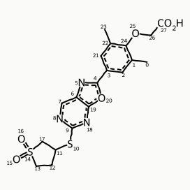 Cc1cc(-c2nc3cnc(SC4CCS(=O)(=O)C4)nc3o2)cc(C)c1OCC(=O)O